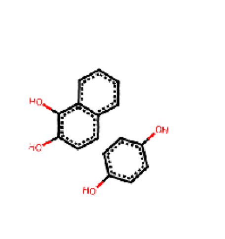 Oc1ccc(O)cc1.Oc1ccc2ccccc2c1O